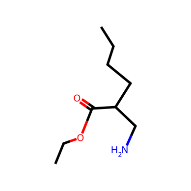 CCCCC(CN)C(=O)OCC